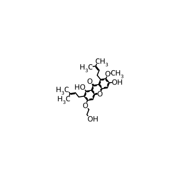 COc1c(O)cc2oc3cc(OCCO)c(CC=C(C)C)c(O)c3c(=O)c2c1CC=C(C)C